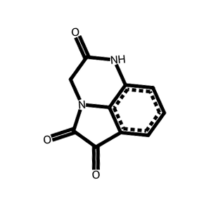 O=C1CN2C(=O)C(=O)c3cccc(c32)N1